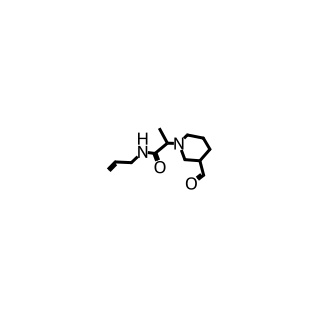 C=CCNC(=O)C(C)N1CCCC(C=O)C1